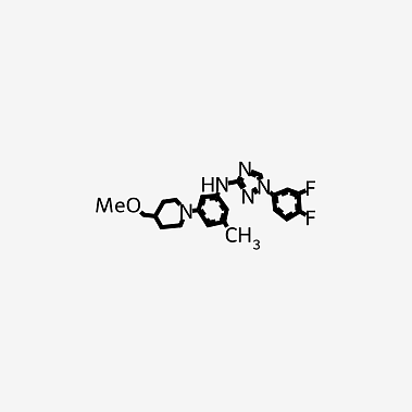 COCC1CCN(c2cc(C)cc(Nc3ncn(-c4ccc(F)c(F)c4)n3)c2)CC1